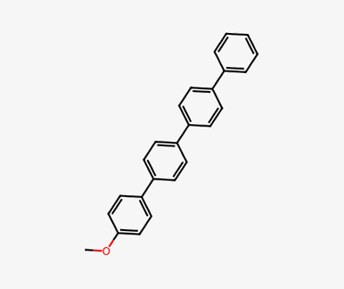 COc1ccc(-c2ccc(-c3ccc(-c4ccccc4)cc3)cc2)cc1